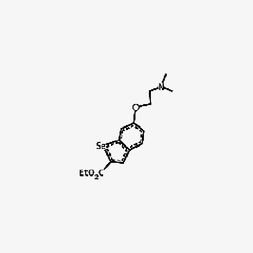 CCOC(=O)c1cc2ccc(OCCN(C)C)cc2[se]1